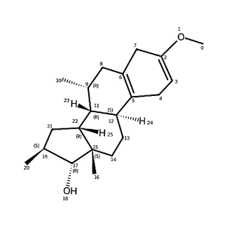 COC1=CCC2=C(C1)C[C@@H](C)[C@@H]1[C@@H]2CC[C@]2(C)[C@H](O)[C@@H](C)C[C@H]12